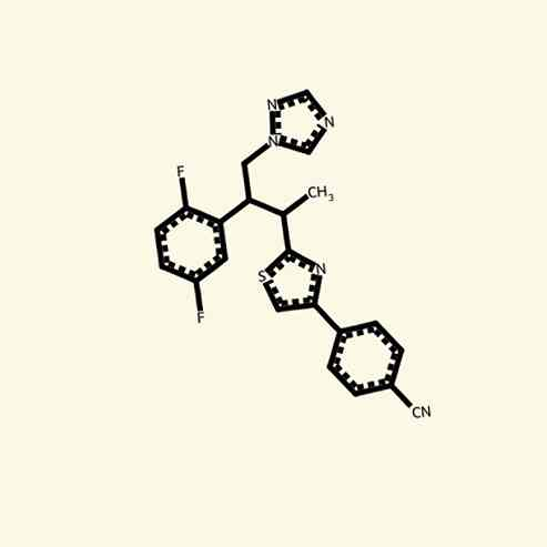 CC(c1nc(-c2ccc(C#N)cc2)cs1)C(Cn1cncn1)c1cc(F)ccc1F